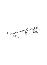 CC(C)=CCCC=CC(=O)OCCN(C)C